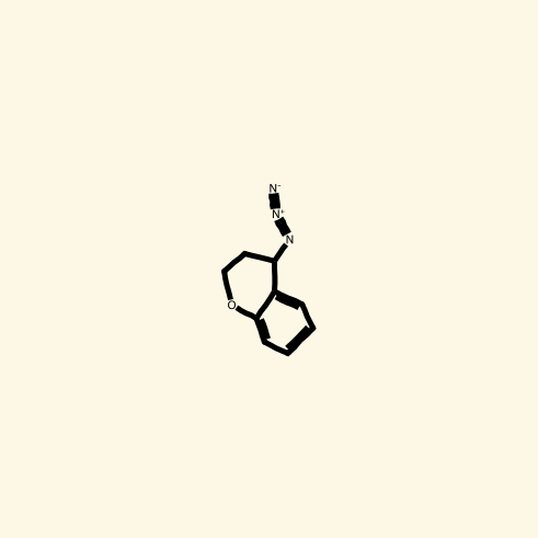 [N-]=[N+]=NC1CCOc2ccccc21